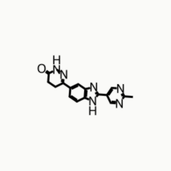 Cc1ncc(-c2nc3cc(C4=NNC(=O)CC4)ccc3[nH]2)cn1